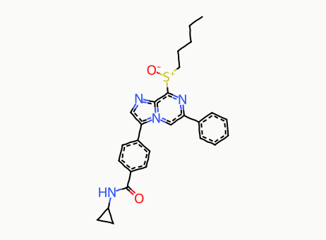 CCCCC[S+]([O-])c1nc(-c2ccccc2)cn2c(-c3ccc(C(=O)NC4CC4)cc3)cnc12